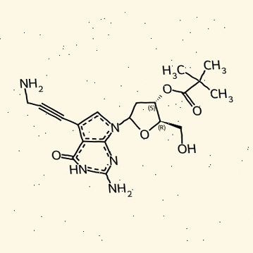 CC(C)(C)C(=O)O[C@H]1CC(n2cc(C#CCN)c3c(=O)[nH]c(N)nc32)O[C@@H]1CO